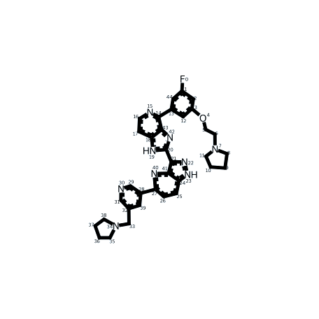 Fc1cc(OCCN2CCCC2)cc(-c2nccc3[nH]c(-c4n[nH]c5ccc(-c6cncc(CN7CCCC7)c6)nc45)nc23)c1